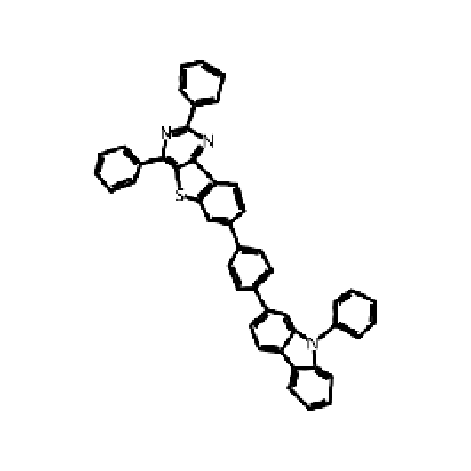 c1ccc(-c2nc(-c3ccccc3)c3sc4cc(-c5ccc(-c6ccc7c8ccccc8n(-c8ccccc8)c7c6)cc5)ccc4c3n2)cc1